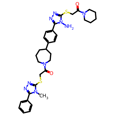 Cn1c(SCC(=O)N2CCCC(c3ccc(-c4nnc(SCC(=O)N5CCCCC5)n4N)cc3)CC2)nnc1-c1ccccc1